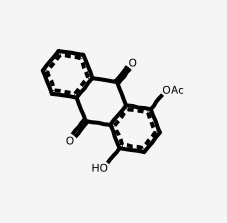 CC(=O)Oc1ccc(O)c2c1C(=O)c1ccccc1C2=O